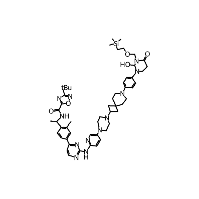 Cc1cc(-c2ccnc(Nc3ccc(N4CCN(C5CC6(CCN(c7ccc(N8CCC(=O)N(COCC[Si](C)(C)C)C8O)cc7)CC6)C5)CC4)cn3)n2)ccc1[C@@H](C)NC(=O)c1nc(C(C)(C)C)no1